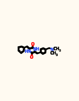 CN(C)Cc1ccc(/C=c2\[nH]c(=O)/c(=C/c3ccccc3)[nH]c2=O)cc1